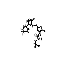 Cc1nc(CCc2c(-c3ccc(F)cn3)noc2C)sc1OC(=O)NCC1CC1